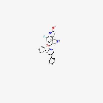 COc1ccc2c(n1)C(F)CC[C@]21CNCC1C(=O)N1CC[C@@H](c2ccccc2)C[C@H]1C1CCCCC1